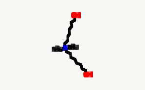 CCCC[N+](CCCC)(CCCCCCCCO)CCCCCCCCO